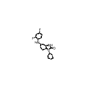 O=c1[nH]c2cc(Nc3ccc(F)cc3F)ccc2n1-c1ccccc1